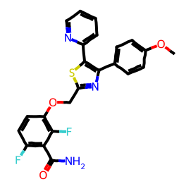 COc1ccc(-c2nc(COc3ccc(F)c(C(N)=O)c3F)sc2-c2ccccn2)cc1